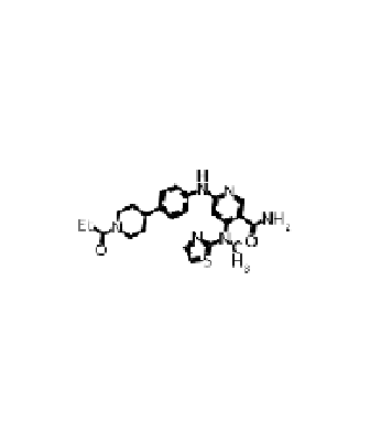 CCC(=O)N1CCC(c2ccc(Nc3cc(N(C)c4nccs4)c(C(N)=O)cn3)cc2)CC1